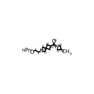 CCCOCCN1CC2(CC(C(=O)N3CC(C)C3)C2)C1